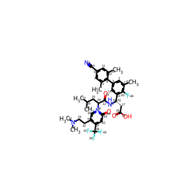 Cc1cc(-c2c(C)cc(C#N)cc2C)cc([C@H](CC(=O)O)NC(=O)C(CC(C)C)n2cc(CCN(C)C)c(C(F)(F)F)cc2=O)c1F